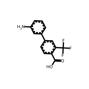 Nc1cccc(-c2ccc(C(=O)O)c(C(F)(F)F)c2)c1